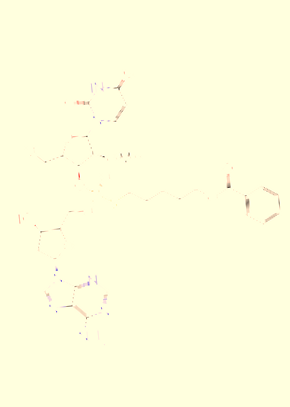 CO[C@@H]1C(n2ccc(=O)[nH]c2=O)OC(CO)[C@@H]1OP(=O)(OCC1O[C@@H](n2cnc3c(N)ncnc32)C[C@H]1O)SCCCCCOC(=O)c1ccccc1